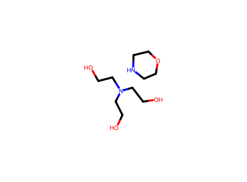 C1COCCN1.OCCN(CCO)CCO